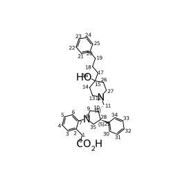 O=C(O)Cc1ccccc1N1C[C@H](CN2CCC(O)(CCCc3ccccc3)CC2)[C@@H](c2ccccc2)C1